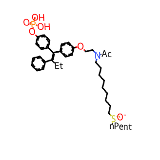 CCCCC[S+]([O-])CCCCCCCCCN(CCOc1ccc(/C(=C(\CC)c2ccccc2)c2ccc(OP(=O)(O)O)cc2)cc1)C(C)=O